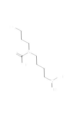 CCCCN(CCCCN(C)C)C(C)=O